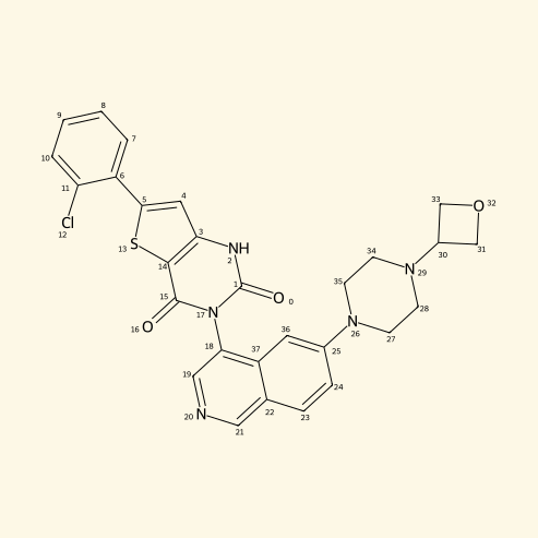 O=c1[nH]c2cc(-c3ccccc3Cl)sc2c(=O)n1-c1cncc2ccc(N3CCN(C4COC4)CC3)cc12